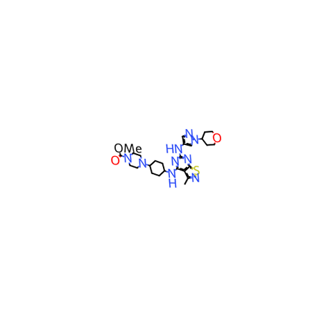 COC(=O)N1CCN(C2CCC(Nc3nc(Nc4cnn(C5CCOCC5)c4)nc4snc(C)c34)CC2)CC1